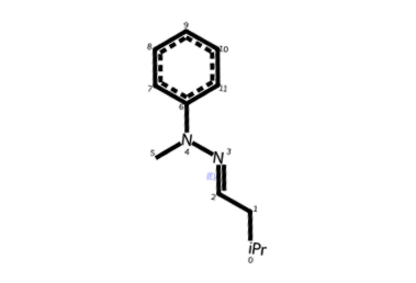 CC(C)C/C=N/N(C)c1ccccc1